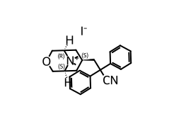 C[N+]1(C)[C@@H]2COC[C@H]1C[C@@H](CC(C#N)(c1ccccc1)c1ccccc1)C2.[I-]